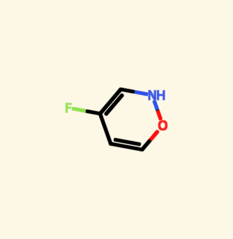 FC1=CNOC=C1